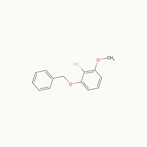 COc1cccc(OCc2ccccc2)c1S